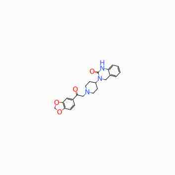 O=C(CN1CCC(N2Cc3ccccc3NC2=O)CC1)c1ccc2c(c1)OCO2